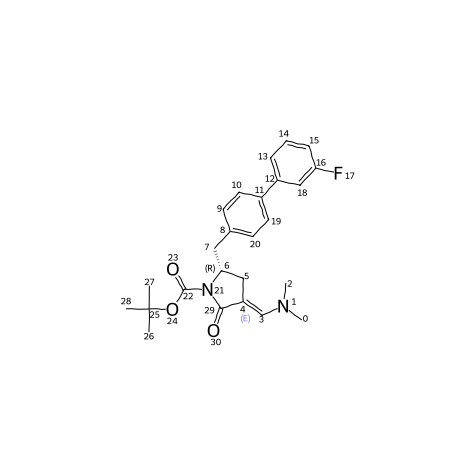 CN(C)/C=C1\C[C@@H](Cc2ccc(-c3cccc(F)c3)cc2)N(C(=O)OC(C)(C)C)C1=O